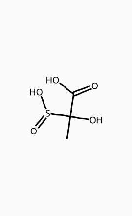 CC(O)(C(=O)O)S(=O)O